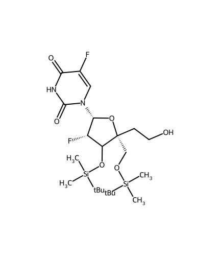 CC(C)(C)[Si](C)(C)OC[C@@]1(CCO)O[C@@H](n2cc(F)c(=O)[nH]c2=O)[C@@H](F)C1O[Si](C)(C)C(C)(C)C